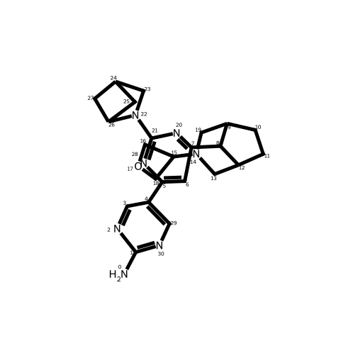 Nc1ncc(-c2cc(C3C4CCC3CN(C3COC3)C4)nc(N3CC4CC3C4)n2)cn1